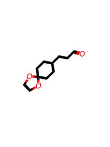 O=CCCC1CCC2(CC1)OCCO2